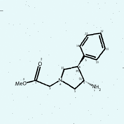 COC(=O)CN1C[C@@H](N)[C@H](c2ccccc2)C1